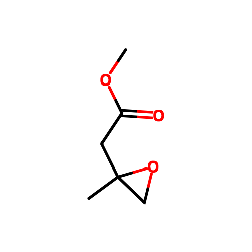 COC(=O)CC1(C)CO1